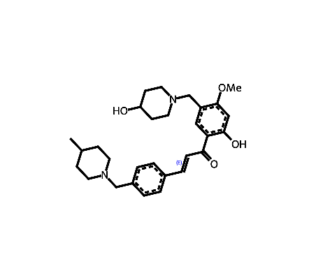 COc1cc(O)c(C(=O)/C=C/c2ccc(CN3CCC(C)CC3)cc2)cc1CN1CCC(O)CC1